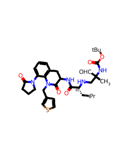 CC(C)C[C@@H](NCC(C)(C=O)NC(=O)OC(C)(C)C)C(=O)NC1Cc2cccc(N3CCCC3=O)c2N(Cc2ccsc2)C1=O